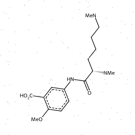 CNCCCC[C@H](NC)C(=O)Nc1ccc(OC)c(C(=O)O)c1